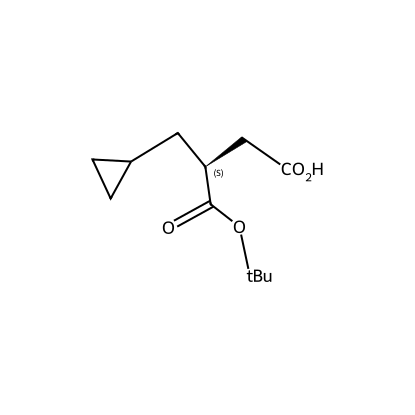 CC(C)(C)OC(=O)[C@H](CC(=O)O)CC1CC1